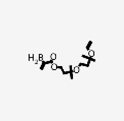 BC(=C)C(=O)OCCC(C)(C)OCCC(C)(C)OC=C